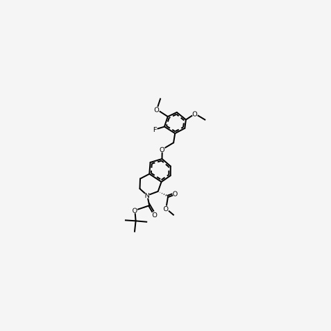 COC(=O)[C@H]1c2ccc(OCc3cc(OC)cc(OC)c3F)cc2CCN1C(=O)OC(C)(C)C